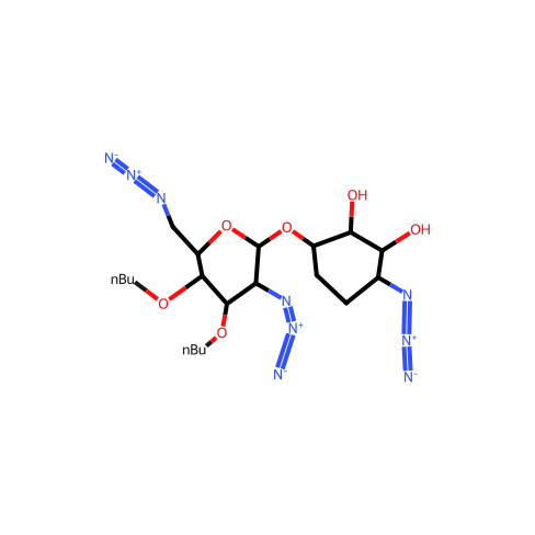 CCCCOC1C(CN=[N+]=[N-])OC(OC2CCC(N=[N+]=[N-])C(O)C2O)C(N=[N+]=[N-])C1OCCCC